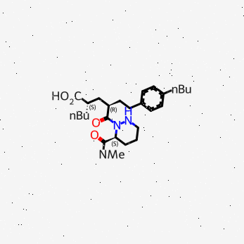 CCCCc1ccc(CC[C@H](C[C@H](CCCC)C(=O)O)C(=O)N2NCCC[C@H]2C(=O)NC)cc1